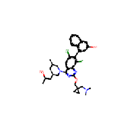 CC(O)CC1CC(C)CN(c2nc(OCC3(CN(C)C)CC3)nc3c(F)c(-c4cc(O)cc5ccccc45)c(Cl)cc23)C1